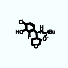 CC(C)(C)[S@@+]([O-])N[C@H](c1ccc(Cl)c(O)c1F)C1CCOCC1